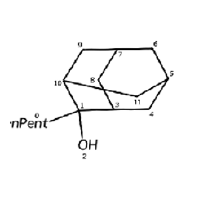 CCCC[CH]C1(O)C2CC3CC(C2)CC1C3